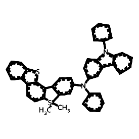 C[Si]1(C)c2cc(N(c3ccccc3)c3ccc4c(c3)c3ccccc3n4-c3ccccc3)ccc2-c2c1ccc1c2sc2ccccc21